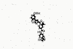 COc1cc(-c2cc(C(=O)N3CC[C@H](C(=O)N[C@H]4CC[C@@]5(CC4)NCC5(F)F)CC34CC4)n[nH]2)c(F)cn1